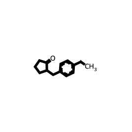 C[CH]c1ccc(CC2CCCC2=O)cc1